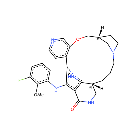 COc1c(F)cccc1Nc1c2[nH]c3c1C(=O)NC[C@H]3CCCN1CC[C@@H](COc3cnccc3-2)C1